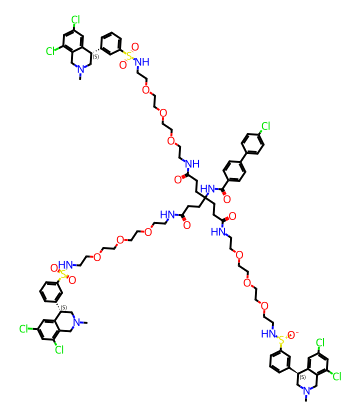 CN1Cc2c(Cl)cc(Cl)cc2[C@H](c2cccc([S+]([O-])NCCOCCOCCOCCNC(=O)CCC(CCC(=O)NCCOCCOCCOCCNS(=O)(=O)c3cccc([C@@H]4CN(C)Cc5c(Cl)cc(Cl)cc54)c3)(CCC(=O)NCCOCCOCCOCCNS(=O)(=O)c3cccc([C@@H]4CN(C)Cc5c(Cl)cc(Cl)cc54)c3)NC(=O)c3ccc(-c4ccc(Cl)cc4)cc3)c2)C1